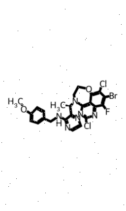 COc1ccc(CNc2nccnc2[C@@H](C)N2CCOc3c(Cl)c(Br)c(F)c4nc(Cl)nc2c34)cc1